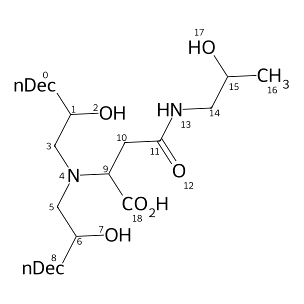 CCCCCCCCCCC(O)CN(CC(O)CCCCCCCCCC)C(CC(=O)NCC(C)O)C(=O)O